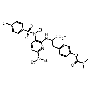 CCN(CC)c1ncc(N(CC)S(=O)(=O)c2ccc(Cl)cc2)c(NC(Cc2ccc(OC(=O)N(C)C)cc2)C(=O)O)n1